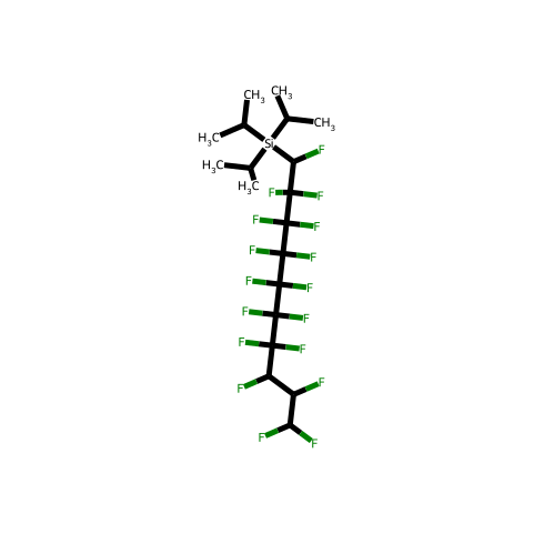 CC(C)[Si](C(C)C)(C(C)C)C(F)C(F)(F)C(F)(F)C(F)(F)C(F)(F)C(F)(F)C(F)(F)C(F)C(F)C(F)F